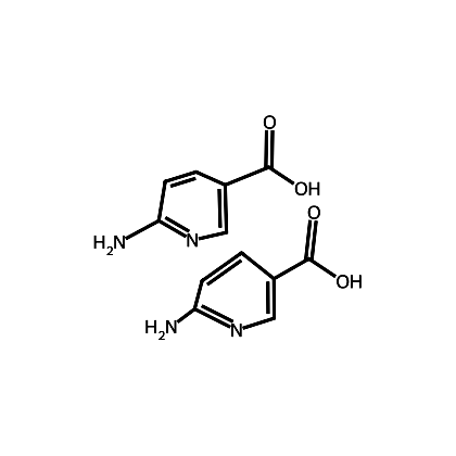 Nc1ccc(C(=O)O)cn1.Nc1ccc(C(=O)O)cn1